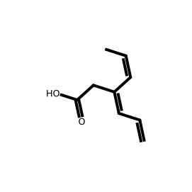 C=C/C=C(\C=C/C)CC(=O)O